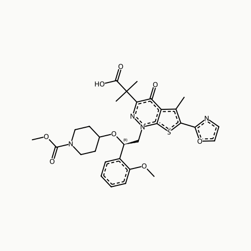 COC(=O)N1CCC(O[C@@H](Cn2nc(C(C)(C)C(=O)O)c(=O)c3c(C)c(-c4ncco4)sc32)c2ccccc2OC)CC1